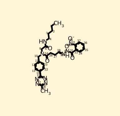 CCCCCNC(=O)CN(Cc1ccc(-c2nnc(C)nn2)cc1)C(=O)CC/C=N/NC(=O)c1ccccc1[N+](=O)[O-]